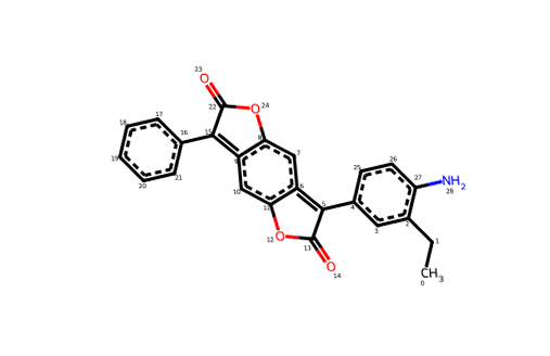 CCc1cc(C2=c3cc4c(cc3OC2=O)=C(c2ccccc2)C(=O)O4)ccc1N